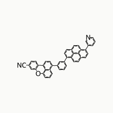 N#Cc1ccc2c(c1)Oc1cccc3c(-c4cccc(-c5ccc6ccc7c(-c8cccnc8)ccc8ccc5c6c87)c4)ccc-2c13